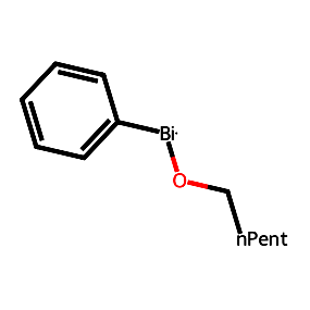 CCCCCC[O][Bi][c]1ccccc1